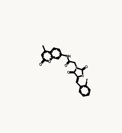 Cc1cc(=O)oc2cc(NC(=O)CN3C(=O)S/C(=C\c4ccccc4F)C3=O)ccc12